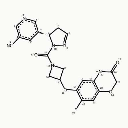 N#Cc1cncc([C@@H]2CC=NN2C(=O)N2CC(Oc3cc4c(cc3F)OCC(=O)N4)C2)c1